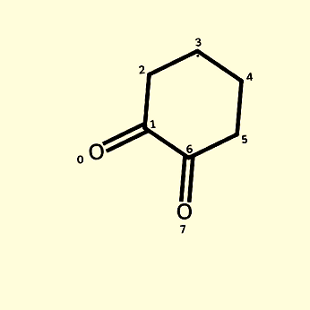 O=C1C[CH]CCC1=O